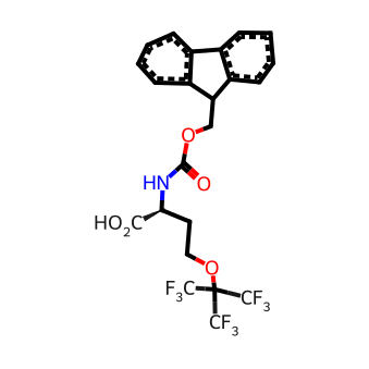 O=C(N[C@@H](CCOC(C(F)(F)F)(C(F)(F)F)C(F)(F)F)C(=O)O)OCC1c2ccccc2-c2ccccc21